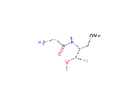 COCC(NC(=O)CN)C(I)OI